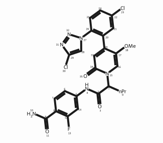 CCCC(C(=O)Nc1ccc(C(N)=O)c(F)c1)n1cc(OC)c(-c2cc(Cl)ccc2-n2cc(Cl)nn2)cc1=O